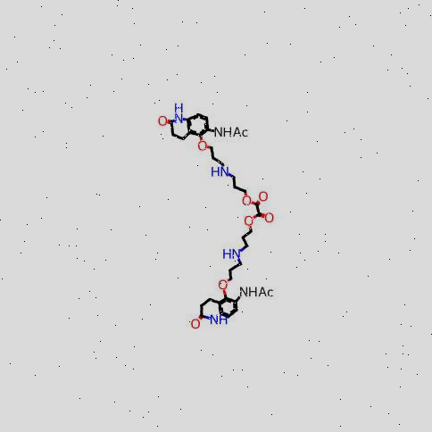 CC(=O)Nc1ccc2c(c1OCCCNCCCOC(=O)C(=O)OCCCNCCCOc1c(NC(C)=O)ccc3c1CCC(=O)N3)CCC(=O)N2